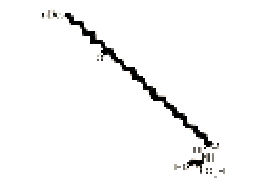 CCCCCCCCCCCCCCCCCC(=O)CCCCCC=CCC=CCC=CCC=CCCCC(=O)PN[C@@H](CO)C(=O)O